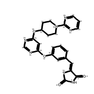 O=C1NC(=O)C(=Cc2cccc(Oc3cc(OC4CCN(c5ncccn5)CC4)ncn3)c2)S1